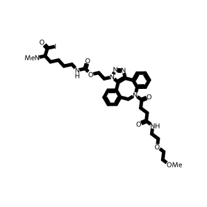 CNC(CCCCNC(=O)OCCn1nnc2c1-c1ccccc1CN(C(=O)CCC(=O)NCCOCCOC)c1ccccc1-2)C(=O)I